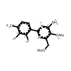 COCc1nc(-c2ccc(C(F)(F)F)c(F)c2F)nc(N)c1OC